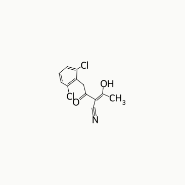 CC(O)=C(C#N)C(=O)Cc1c(Cl)cccc1Cl